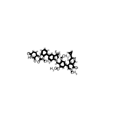 COc1cc(-c2cn(C)c(=O)c3cnc(C4CC4)cc23)cc(OC)c1CN1CC(F)(F)c2cc(-c3cccc4c3n(C)c(=O)n4C3CCC(=O)NC3=O)ccc21